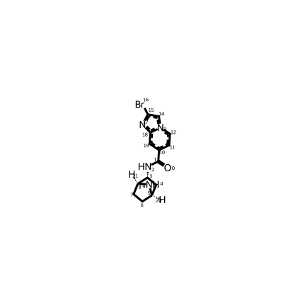 O=C(N[C@@H]1C[C@H]2CC[C@@H]1N2)c1ccn2cc(Br)nc2c1